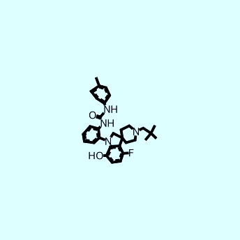 Cc1ccc(NC(=O)Nc2ccccc2N2CC3(CCN(CC(C)(C)C)CC3)c3c(F)ccc(O)c32)cc1